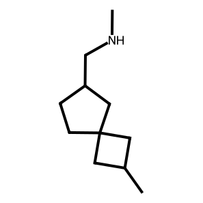 CNCC1CCC2(CC(C)C2)C1